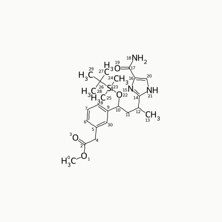 COC(=O)Cc1cccc(C(CC(C)c2nc(C(N)=O)c[nH]2)O[Si](C)(C)C(C)(C)C)c1